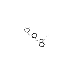 NCCc1cn(Cc2cccc(Nc3ccncc3)c2)c2ccccc12